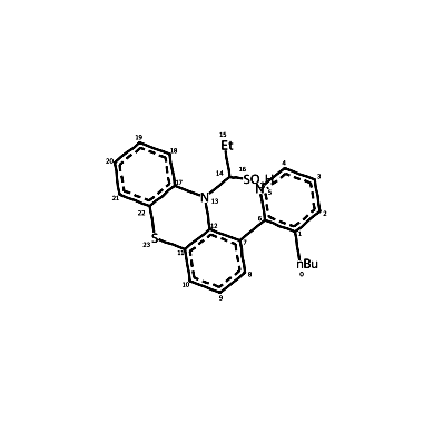 CCCCc1cccnc1-c1cccc2c1N(C(CC)S(=O)(=O)O)c1ccccc1S2